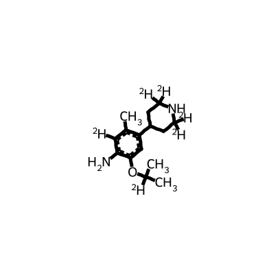 [2H]c1c(C)c(C2CC([2H])([2H])NC([2H])([2H])C2)cc(OC([2H])(C)C)c1N